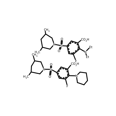 CC1CC(C)CN(S(=O)(=O)c2cc(F)c(N3CCCCC3)c(C(=O)O)c2)C1.CCN(CC)c1c(F)cc(S(=O)(=O)N2CC(C)CC(C)C2)cc1C(=O)O